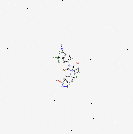 CN1Cc2cc(F)c(N3C(=S)N(c4ccc(C#N)c(C(F)(F)F)c4)C(=O)C34CCC4)cc2C1=O